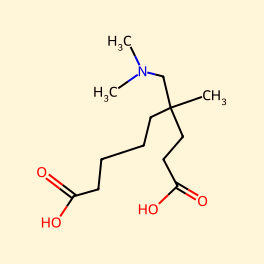 CN(C)CC(C)(CCCCC(=O)O)CCC(=O)O